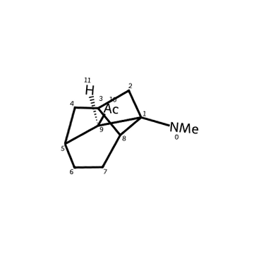 CNC12CC3CC(CCC31)[C@H]2C(C)=O